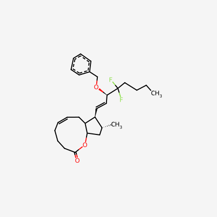 CCCCC(F)(F)[C@@H](/C=C/[C@@H]1C2C/C=C\CCCC(=O)OC2C[C@H]1C)OCc1ccccc1